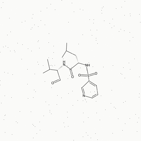 CC(C)C[C@H](NS(=O)(=O)c1cccnc1)C(=O)N[C@H](C=O)C(C)C